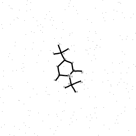 CC1CC(C(C)(C)C)CC(C)N1C(C)(C)C